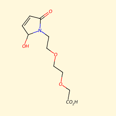 O=C(O)COCCOCCN1C(=O)C=CC1O